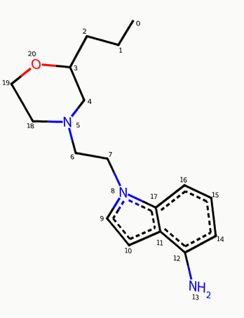 CCCC1CN(CCn2ccc3c(N)cccc32)CCO1